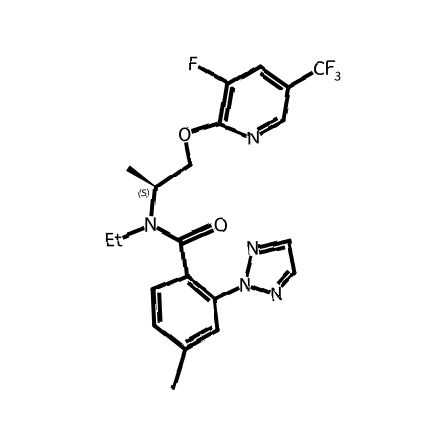 CCN(C(=O)c1ccc(C)cc1-n1nccn1)[C@@H](C)COc1ncc(C(F)(F)F)cc1F